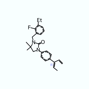 C=C/C(=C\C)c1ccc(N2CC(C)(C)N(Cc3cccc(CC)c3F)C2=O)cc1